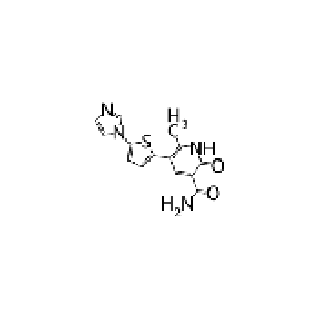 Cc1[nH]c(=O)c(C(N)=O)cc1-c1ccc(-n2ccnc2)s1